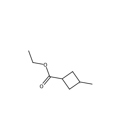 CCOC(=O)C1C[C](C)C1